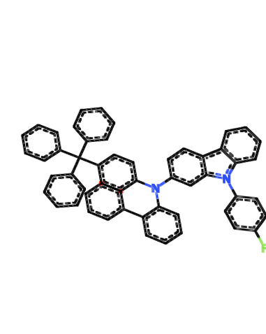 Fc1ccc(-n2c3ccccc3c3ccc(N(c4ccc(C(c5ccccc5)(c5ccccc5)c5ccccc5)cc4)c4ccccc4-c4ccccc4)cc32)cc1